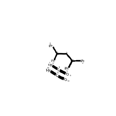 CC(C)C(CC(C(C)C)C(C)C)C(C)C.N=C=O.N=C=O